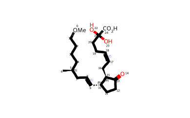 COCCCC[C@H](C)C/C=C/[C@H]1CCC(=O)[C@@H]1C/C=C\CCC(O)(O)C(=O)O